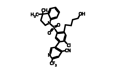 CC1(C)CCN(S(=O)(=O)c2cc(-c3cnc(C(F)(F)F)cc3C#N)c(Cl)cc2CCCCO)c2ccccc21